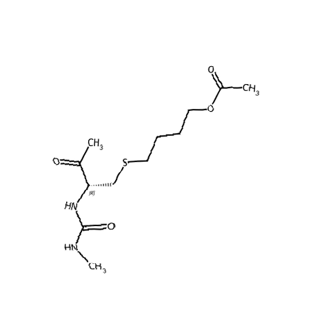 CNC(=O)N[C@@H](CSCCCCOC(C)=O)C(C)=O